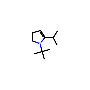 CC(C)C1=CCCN1C(C)(C)C